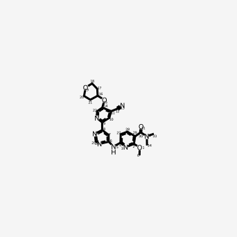 COc1nc(Nc2cc(-c3cc(C#N)c(OC4CCOCC4)cn3)ncn2)ccc1C(=O)N(C)C